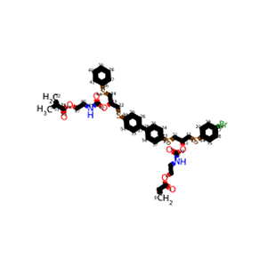 C=CC(=O)OCCNC(=O)OC(CSc1ccc(Br)cc1)CSc1ccc(-c2ccc(SCC(CSc3ccccc3)OC(=O)NCCOC(=O)C(=C)C)cc2)cc1